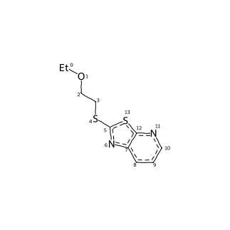 CCOCCSc1nc2cccnc2s1